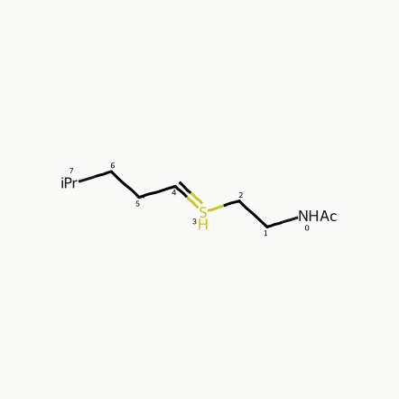 CC(=O)NCC[SH]=C[CH]CC(C)C